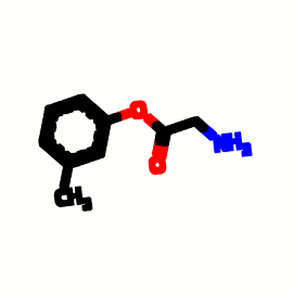 Cc1cccc(OC(=O)CN)c1